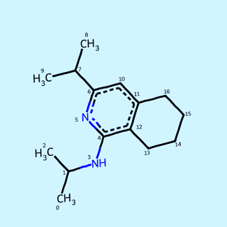 CC(C)Nc1nc(C(C)C)cc2c1CCCC2